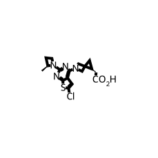 C[C@H]1CCN1c1nc(N2CC3(C[C@@H]3CC(=O)O)C2)c2cc(Cl)sc2n1